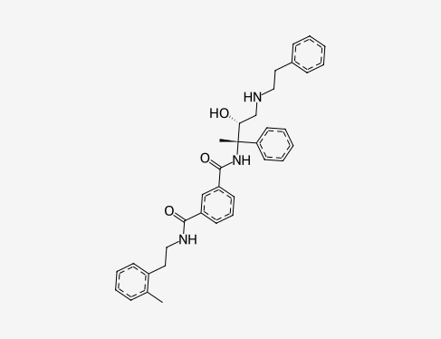 Cc1ccccc1CCNC(=O)c1cccc(C(=O)N[C@@](C)(c2ccccc2)[C@H](O)CNCCc2ccccc2)c1